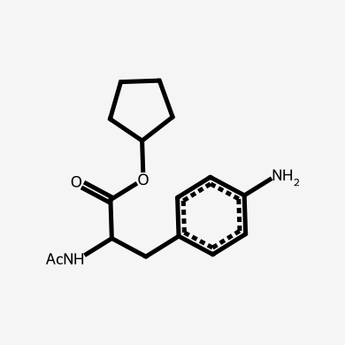 CC(=O)NC(Cc1ccc(N)cc1)C(=O)OC1CCCC1